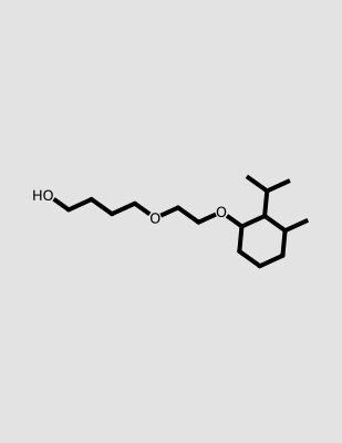 CC(C)C1C(C)CCCC1OCCOCCCCO